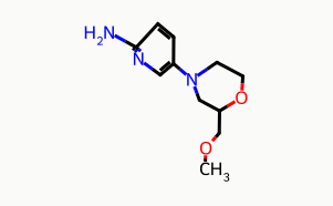 COCC1CN(c2ccc(N)nc2)CCO1